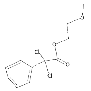 COCCOC(=O)C(Cl)(Cl)c1ccccc1